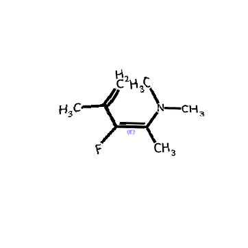 C=C(C)/C(F)=C(/C)N(C)C